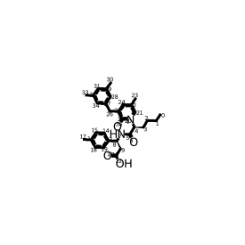 CCCC[C@@H](C(=O)N[C@@H](CC(=O)O)c1ccc(C)cc1)n1cc(C)cc(Cc2cc(C)cc(C)c2)c1=O